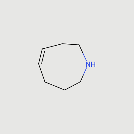 C1=C\CCNCCC/1